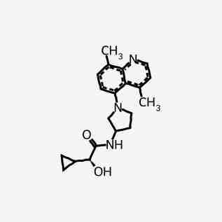 Cc1ccc(N2CCC(NC(=O)[C@@H](O)C3CC3)C2)c2c(C)ccnc12